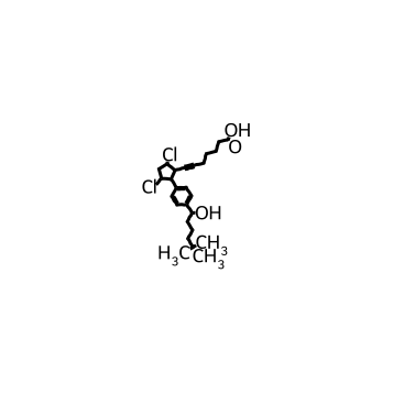 CC(C)(C)CCCC(O)c1ccc(C2C(Cl)CC(Cl)C2C#CCCCCC(=O)O)cc1